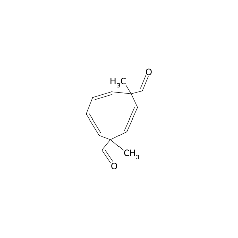 CC1(C=O)/C=C\C=C/C(C)(C=O)/C=C\1